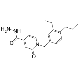 CCCc1ccc(Cn2ccc(C(=O)NN)cc2=O)cc1CC